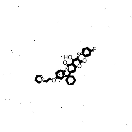 O=c1oc2cc3n(c(=O)c2c(O)c1Sc1ccc(F)cc1)-c1ccc(OCCN2CCCC2)cc1C31CCCCC1